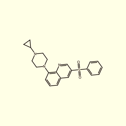 O=S(=O)(c1ccccc1)c1cnc2c(N3CCN(C4CC4)CC3)cccc2c1